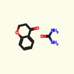 NC(N)=O.O=C1CCOc2ccccc21